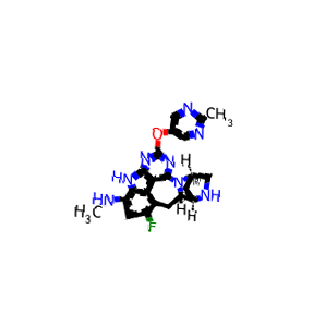 CNc1cc(F)c2c3c1[nH]c1nc(Oc4cnc(C)nc4)nc(c13)N1[C@H]3CN[C@H](C3)[C@@H]1C2